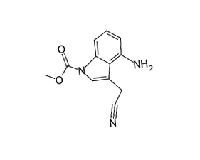 COC(=O)n1cc(CC#N)c2c(N)cccc21